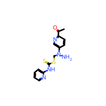 CC(=O)c1ccc(N(N)CSC(=S)Nc2ccccn2)cn1